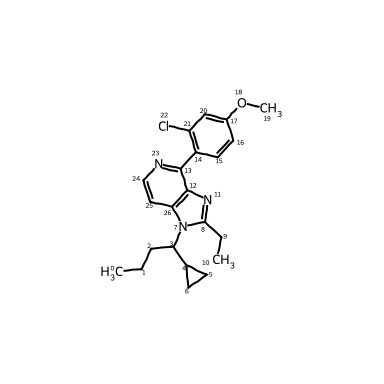 CCCC(C1CC1)n1c(CC)nc2c(-c3ccc(OC)cc3Cl)nccc21